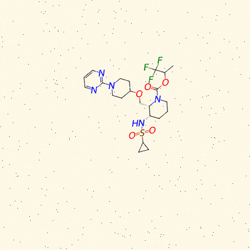 CC(OC(=O)N1CCC[C@H](NS(=O)(=O)C2CC2)[C@@H]1COC1CCN(c2ncccn2)CC1)C(F)(F)F